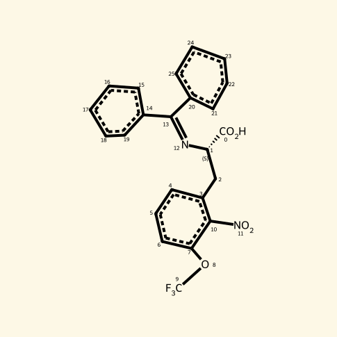 O=C(O)[C@H](Cc1cccc(OC(F)(F)F)c1[N+](=O)[O-])N=C(c1ccccc1)c1ccccc1